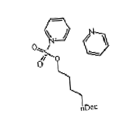 CCCCCCCCCCCCCCOS(=O)(=O)[n+]1ccccc1.c1ccncc1